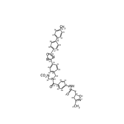 CC1=NOC(CC(=O)Nc2ccc(C(=O)N(CC(=O)O)Cc3ccc(-c4noc(-c5ccc(-c6ccc(C)cc6)cc5)n4)cc3)cc2)C1